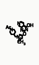 CC(=O)N1CCC(CN2C=C(Oc3nc(O)c4ccncc4n3)CN2C)CC1